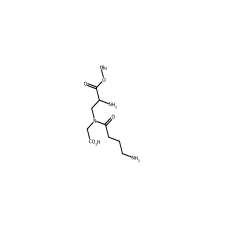 CC(C)(C)OC(=O)C(N)CN(CC(=O)O)C(=O)CCCN